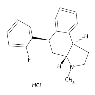 CN1CC[C@@H]2c3ccccc3[C@H](c3ccccc3F)C[C@H]21.Cl